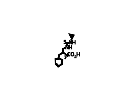 CN(C(=O)O)C(CNC(=S)NC1CC1)Cc1ccccc1